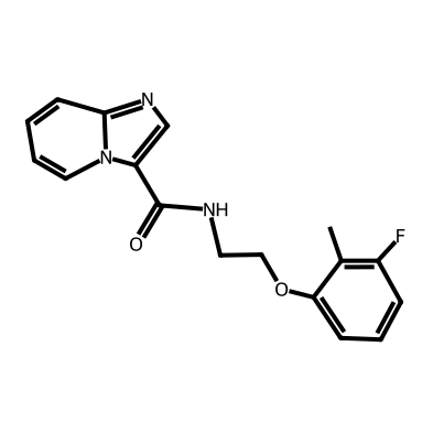 Cc1c(F)cccc1OCCNC(=O)c1cnc2ccccn12